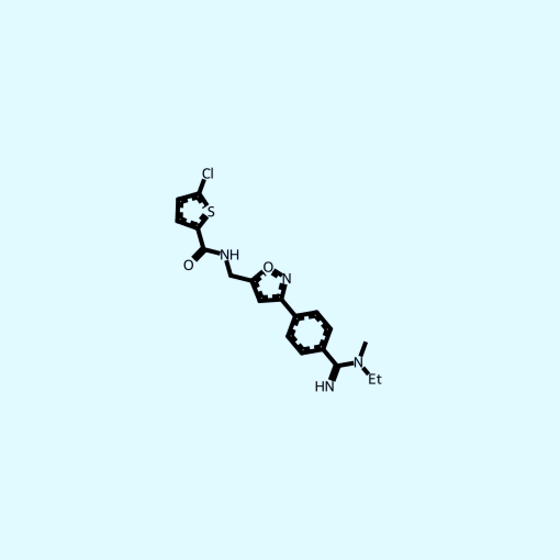 CCN(C)C(=N)c1ccc(-c2cc(CNC(=O)c3ccc(Cl)s3)on2)cc1